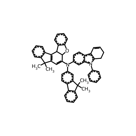 CC1(C)C2=C(c3ccccc31)C1c3ccccc3OC1C(N(c1ccc3c(c1)C(C)(C)c1ccccc1-3)c1ccc3c4c(n(-c5ccccc5)c3c1)CCC=C4)=C2